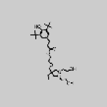 CCC(COCCO)(COCCO)COCCOC(=O)CCc1cc(C(C)(C)C)c(O)c(C(C)(C)C)c1